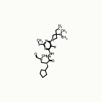 CCC1(N(C)C)CN(c2nc(SC)nc(NNC(=O)[C@@H](CC3CCCC3)CN(O)C=O)c2F)C1